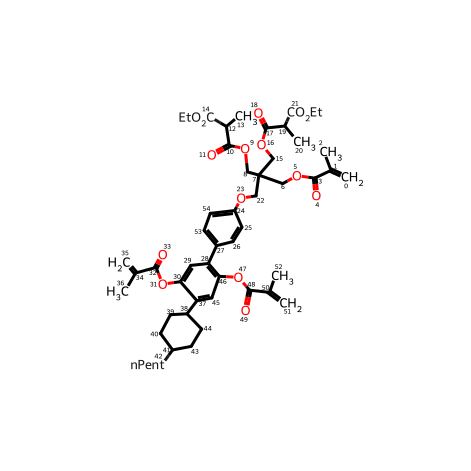 C=C(C)C(=O)OCC(COC(=O)C(C)C(=O)OCC)(COC(=O)C(C)C(=O)OCC)COc1ccc(-c2cc(OC(=O)C(=C)C)c(C3CCC(CCCCC)CC3)cc2OC(=O)C(=C)C)cc1